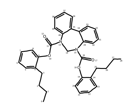 CCCCc1ccccc1OC(=O)N1CN(C(=O)Oc2ccccc2CCCC)c2ccccc2-c2ccccc21